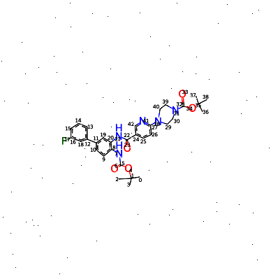 CC(C)(C)OC(=O)Nc1ccc(-c2cccc(F)c2)cc1NC(=O)c1ccc(N2CCN(C(=O)OC(C)(C)C)CC2)nc1